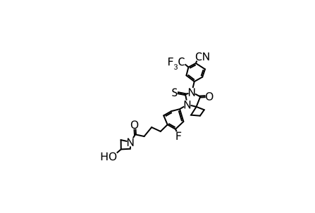 N#Cc1ccc(N2C(=O)C3(CCC3)N(c3ccc(CCCC(=O)N4CC(O)C4)c(F)c3)C2=S)cc1C(F)(F)F